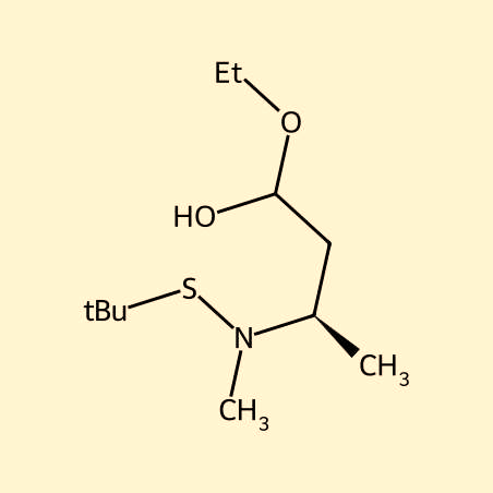 CCOC(O)C[C@@H](C)N(C)SC(C)(C)C